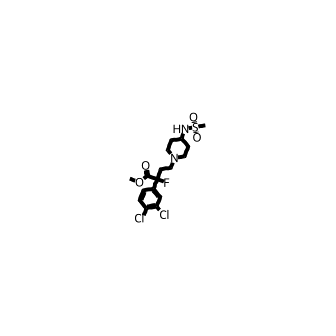 COC(=O)C(F)(CCN1CCC(NS(C)(=O)=O)CC1)c1ccc(Cl)c(Cl)c1